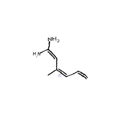 C=C/C=C(/C)C=C(N)N